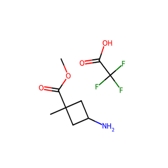 COC(=O)C1(C)CC(N)C1.O=C(O)C(F)(F)F